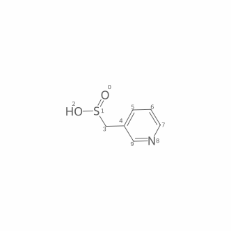 O=S(O)Cc1cccnc1